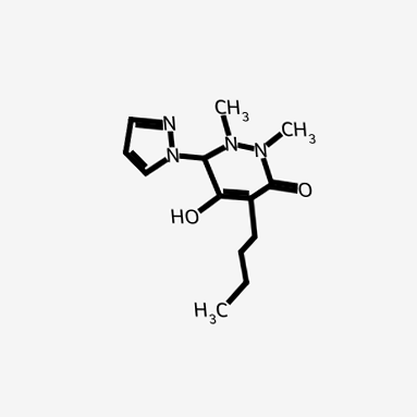 CCCCC1=C(O)C(n2cccn2)N(C)N(C)C1=O